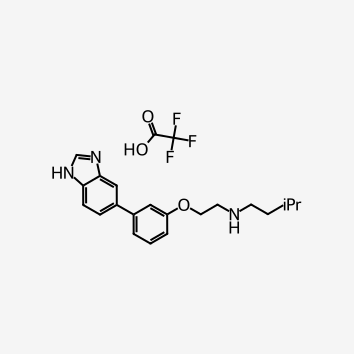 CC(C)CCNCCOc1cccc(-c2ccc3[nH]cnc3c2)c1.O=C(O)C(F)(F)F